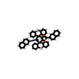 c1ccc2c(c1)Sc1ccccc1C21c2cc(-c3ccc4ccccc4c3)sc2C2(c3ccccc3Sc3ccccc32)c2cc(-c3ccc4ccccc4c3)sc21